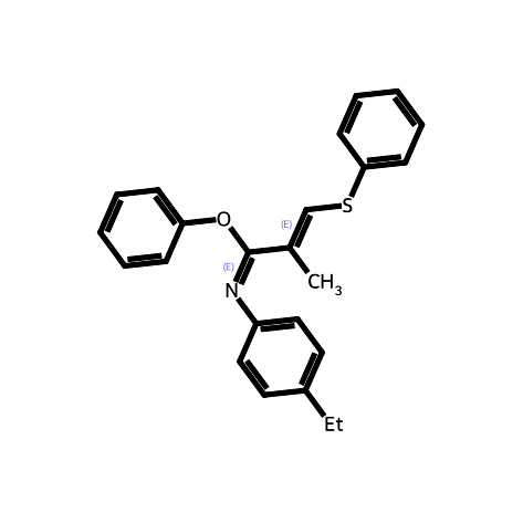 CCc1ccc(/N=C(Oc2ccccc2)\C(C)=C\Sc2ccccc2)cc1